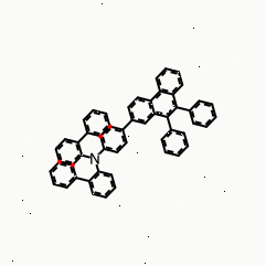 c1ccc(-c2ccccc2N(c2ccc(-c3ccc4c(c3)c(-c3ccccc3)c(-c3ccccc3)c3ccccc34)cc2)c2ccccc2-c2ccccc2)cc1